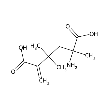 C=C(C(=O)O)C(C)(C)CC(C)(N)C(=O)O